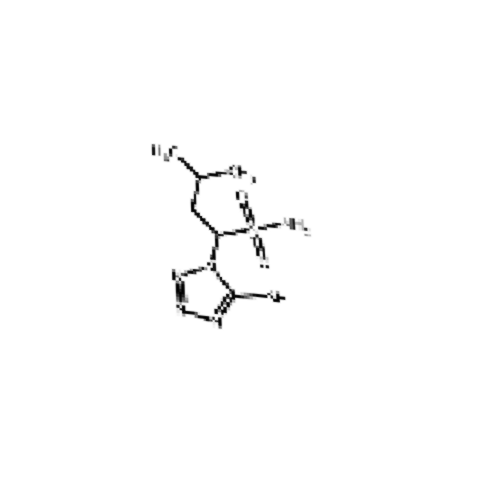 CC(C)CC(n1nnnc1S)S(N)(=O)=O